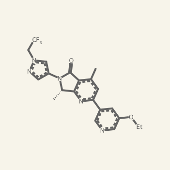 CCOc1cncc(-c2cc(C)c3c(n2)[C@H](C)N(c2cnn(CC(F)(F)F)c2)C3=O)c1